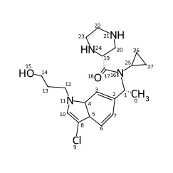 C[C@H](C1=CC2C(C=C1)C(Cl)=CN2CCCO)N(C(=O)[C@H]1CNCCN1)C1CC1